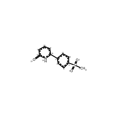 CS(=O)(=O)c1ccc(-c2cccc(=O)[nH]2)cc1